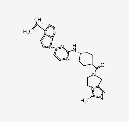 C=C(C)c1cccc2c1ccn2-c1ccnc(N[C@H]2CC[C@H](C(=O)N3CCn4c(C)nnc4C3)CC2)n1